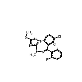 CSc1nc2n(n1)-c1ccc(Cl)c(Cl)c1C(c1c(F)cccc1F)=NC2C